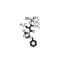 C=CC(C(=O)N1C(=O)OC[C@H]1Cc1ccccc1)C(C)O[Si](C)(C)C(C)(C)C